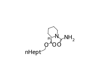 CCCCCCCCOC(=O)[C@H]1CCCCN1C(N)=O